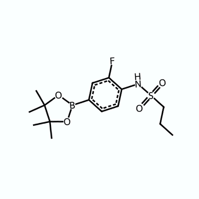 CCCS(=O)(=O)Nc1ccc(B2OC(C)(C)C(C)(C)O2)cc1F